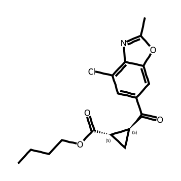 CCCCOC(=O)[C@H]1C[C@@H]1C(=O)c1cc(Cl)c2nc(C)oc2c1